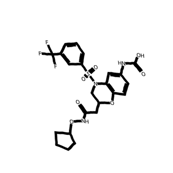 O=C(O)Nc1ccc2c(c1)N(S(=O)(=O)c1cccc(C(F)(F)F)c1)CC(CC(=O)NOC1CCCC1)O2